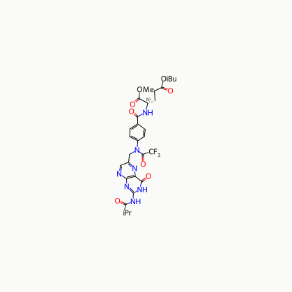 COC(=O)[C@H](CCC(=O)OCC(C)C)NC(=O)c1ccc(N(Cc2cnc3nc(NC(=O)C(C)C)[nH]c(=O)c3n2)C(=O)C(F)(F)F)cc1